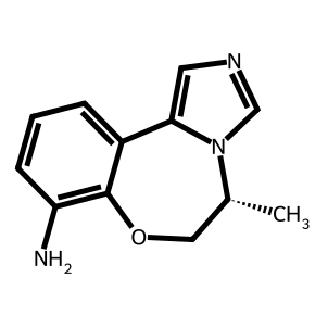 C[C@@H]1COc2c(N)cccc2-c2cncn21